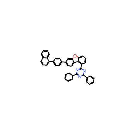 C1=CCC(c2nc(-c3ccccc3)nc(-c3cccc4oc5cc(-c6ccc(-c7cccc8ccccc78)cc6)ccc5c34)n2)C=C1